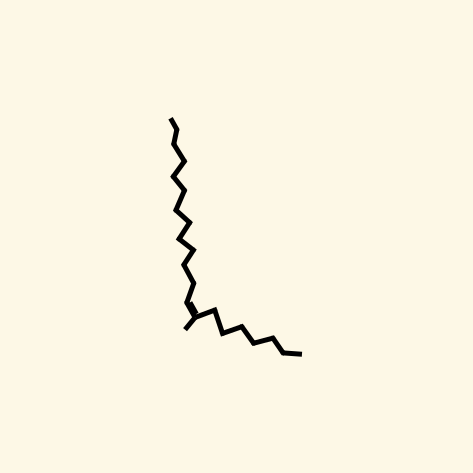 CCCCCCCCCCCCC=C(C)CCCCCCC